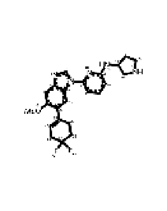 COc1cc2ncn(-c3cccc(NC4CCNC4)n3)c2cc1C1=CCC(F)(F)CC1